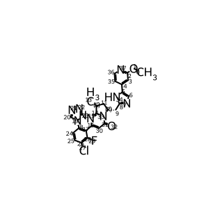 COc1cc(-c2cnc(C[C@H]3C[C@H](C)c4nc(-c5c(-n6cnnn6)ccc(Cl)c5F)cc(=O)n43)[nH]2)ccn1